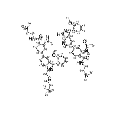 CNc1cc(-c2cnc3c(c2)c(-c2ccccc2OC)nn3COCC[Si](C)(C)C)ccc1C(=O)NCCN(C)C.COc1ccccc1-c1n[nH]c2ncc(-c3ccc(C(=O)NCCN(C)C)c(N(C)C(C)=O)c3)cc12